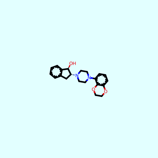 O[C@@H]1c2ccccc2C[C@H]1N1CCN(c2cccc3c2OCCO3)CC1